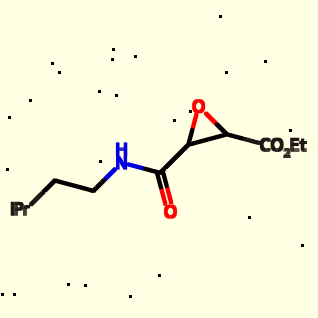 CCOC(=O)C1OC1C(=O)NCCC(C)C